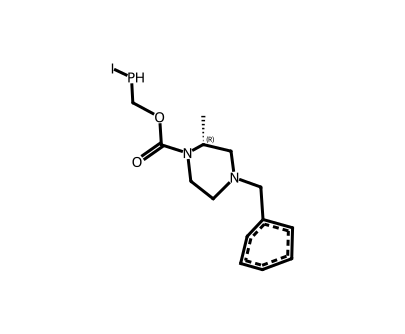 C[C@@H]1CN(Cc2ccccc2)CCN1C(=O)OCPI